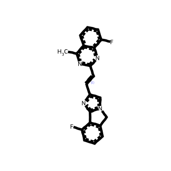 Cc1nc(/C=C/c2cn3c(n2)-c2c(F)cccc2C3)nc2c(F)cccc12